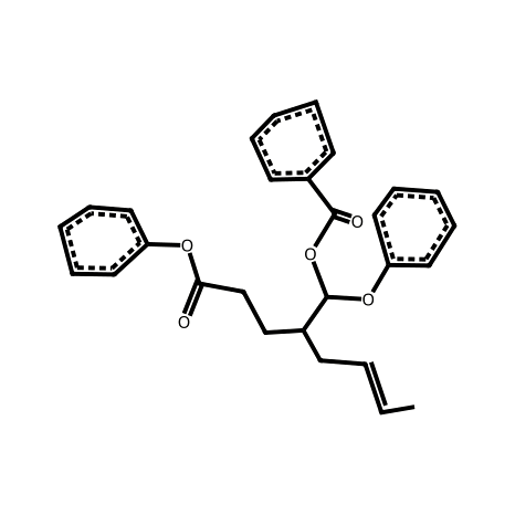 CC=CCC(CCC(=O)Oc1ccccc1)C(OC(=O)c1ccccc1)Oc1ccccc1